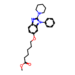 COC(=O)CCCCCOc1ccc2nc(N3CCCCC3)n(-c3ccccc3)c2c1